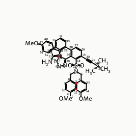 COc1ccc(CN(Cc2ccc(OC)cc2)S(=O)(=O)c2c(C#C[Si](C)(C)C)ccc(-c3cccc4sc(N)nc34)c2-c2nnnn2Cc2ccc(OC)cc2)cc1